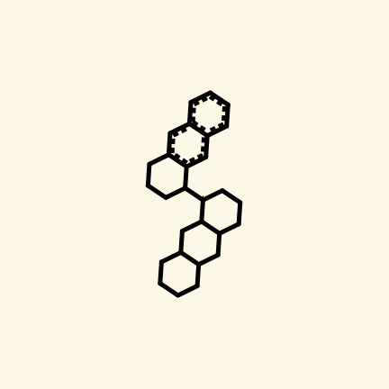 c1ccc2cc3c(cc2c1)CCCC3[C]1CCCC2CC3CCCCC3CC12